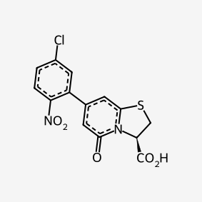 O=C(O)[C@@H]1CSc2cc(-c3cc(Cl)ccc3[N+](=O)[O-])cc(=O)n21